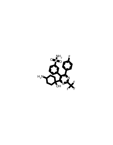 NC1CCC(O)(c2nc(C(F)(F)F)nc(-c3ccc(F)cc3)c2-c2cccc(S(N)(=O)=O)c2)CC1